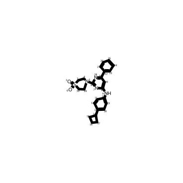 O=S1(=O)CCN(c2nc(Nc3ccc(C4CCC4)cc3)cc(-c3ccccc3)n2)CC1